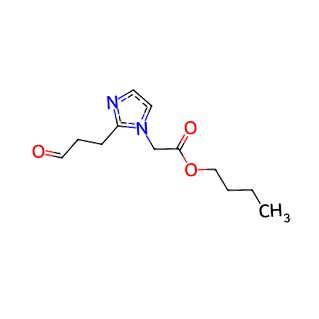 CCCCOC(=O)Cn1ccnc1CCC=O